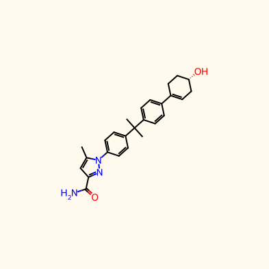 Cc1cc(C(N)=O)nn1-c1ccc(C(C)(C)c2ccc(C3=CC[C@@H](O)CC3)cc2)cc1